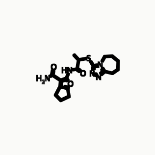 CC(Sc1nnc2n1CCCCC2)C(=O)Nc1oc2c(c1C(N)=O)CCC2